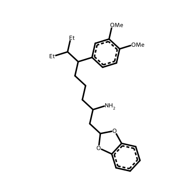 CCC(CC)C(CCCC(N)CC1Oc2ccccc2O1)c1ccc(OC)c(OC)c1